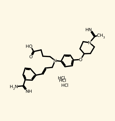 CC(=N)N1CCC(Oc2ccc(N(C/C=C/c3cccc(C(=N)N)c3)CCCC(=O)O)cc2)CC1.Cl.Cl.Cl